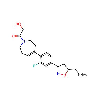 CC(=O)NCC1CC(c2ccc(C3=CCCN(C(=O)CO)CC3)c(F)c2)=NO1